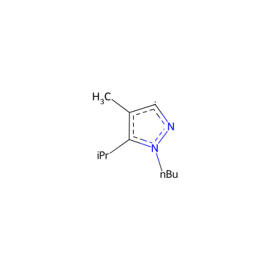 CCCCn1n[c]c(C)c1C(C)C